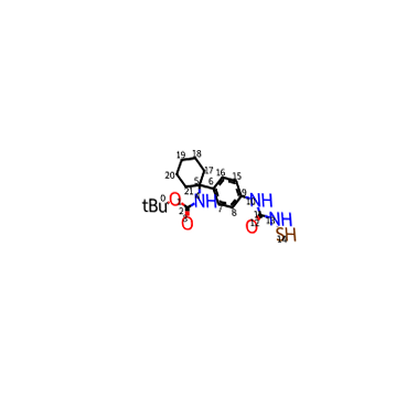 CC(C)(C)OC(=O)NC1(c2ccc(NC(=O)NS)cc2)CCCCC1